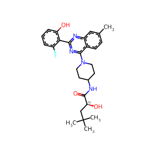 Cc1ccc2c(N3CCC(NC(=O)[C@@H](O)CC(C)(C)C)CC3)nc(-c3c(O)cccc3F)nc2c1